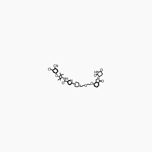 CC1(C)[C@H](NC(=O)c2ccc(N3CCN(CCOCCOc4cccc5c4CN(C4CCC(=O)NC4=O)C5=O)CC3)nc2)C(C)(C)[C@H]1Oc1ccc(C#N)c(Cl)c1